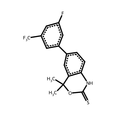 CC1(C)OC(=S)Nc2ccc(-c3cc(F)cc(C(F)(F)F)c3)cc21